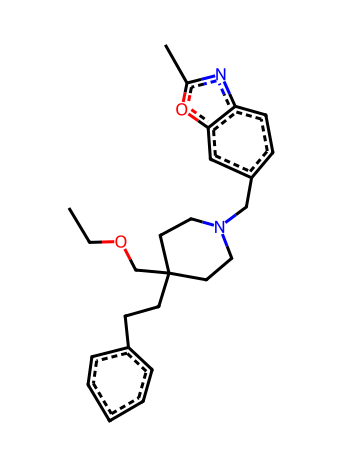 CCOCC1(CCc2ccccc2)CCN(Cc2ccc3nc(C)oc3c2)CC1